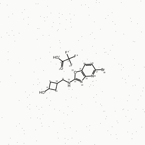 O=C(O)C(F)(F)F.OC1CC(CNc2nc3nc(Br)ccc3o2)C1